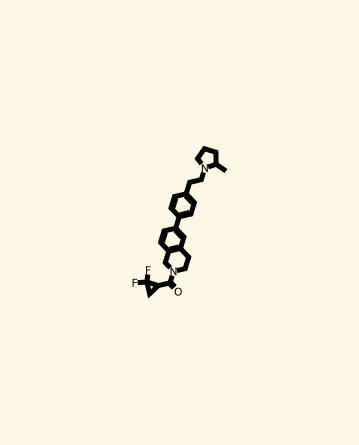 CC1CCCN1CCc1ccc(-c2ccc3c(c2)CCN(C(=O)C2CC2(F)F)C3)cc1